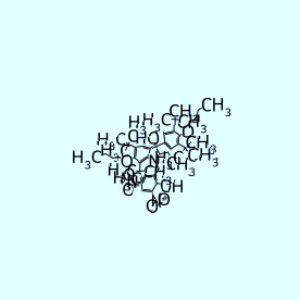 CCCCOc1c(C(C)(C)C)cc(C(O)(c2cc(C(C)(C)C)c(OCCCC)c(C(C)(C)C)c2)C(CC)N=Cc2cc([N+](=O)[O-])cc([N+](=O)[O-])c2O)cc1C(C)(C)C